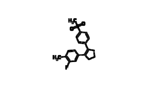 Cc1ccc(C2=C(c3ccc(S(C)(=O)=O)cc3)CCC2)cc1F